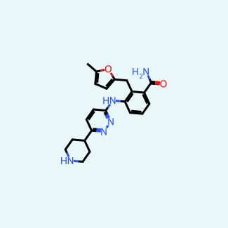 Cc1ccc(Cc2c(Nc3ccc(C4CCNCC4)nn3)cccc2C(N)=O)o1